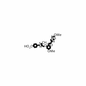 COc1cc(OCc2nc(-c3ccc(C(=O)O)cc3)sc2C)c2cc(-c3cn4nc(OC)sc4n3)oc2c1